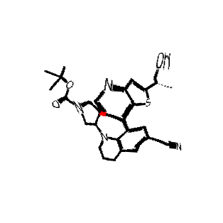 C[C@@H](O)c1cc2nccc(-c3cc(C#N)cc4c3N(C3CCN(C(=O)OC(C)(C)C)C3)CCC4)c2s1